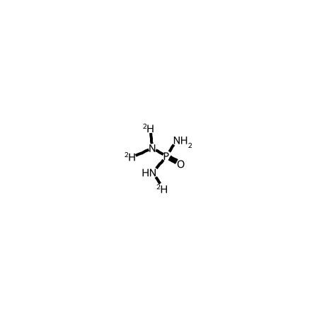 [2H]NP(N)(=O)N([2H])[2H]